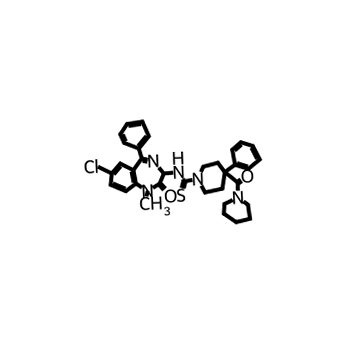 CN1C(=O)C(NC(=S)N2CCC(C(=O)N3CCCCC3)(c3ccccc3)CC2)N=C(c2ccccc2)c2cc(Cl)ccc21